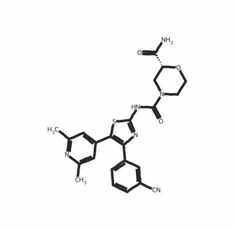 Cc1cc(-c2sc(NC(=O)N3CCO[C@@H](C(N)=O)C3)nc2-c2cccc(C#N)c2)cc(C)n1